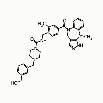 Cc1cc(C(=O)N2Cc3cn[nH]c3N(C)c3ccccc32)ccc1CNC(=O)N1CCN(Cc2cccc(CO)c2)CC1